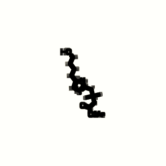 COC(=O)CC(C)(C)Cc1nc(CCCCO)cs1